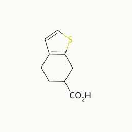 O=C(O)C1CCc2ccsc2C1